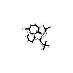 CC(=O)O[C@H]1CCC(=O)N2CCC[C@@H](C(=O)OC(C)(C)C)N2C1=O